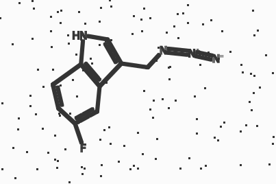 [N-]=[N+]=NCc1c[nH]c2ccc(F)cc12